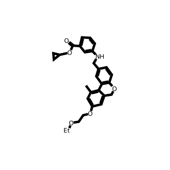 CCOCCOc1cc(C)c2c(c1)COc1ccc(CNc3cccc(C(=O)OC4CC4)c3)cc1-2